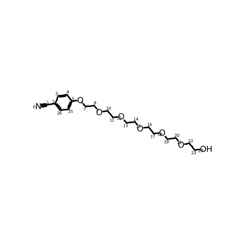 N#Cc1ccc(OCCOCCOCCOCCOCCOCCO)cc1